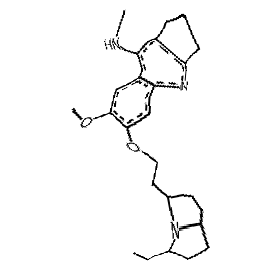 CCC1CCC2CC(CCOc3cc4nc5c(c(NC)c4cc3OC)CCC5)N12